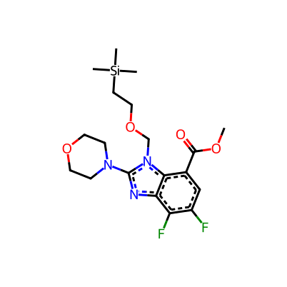 COC(=O)c1cc(F)c(F)c2nc(N3CCOCC3)n(COCC[Si](C)(C)C)c12